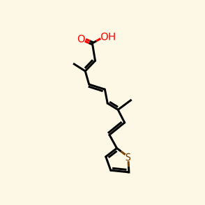 CC(C=Cc1cccs1)=CC=CC(C)=CC(=O)O